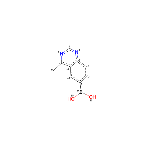 Cc1ncnc2ccc(B(O)O)cc12